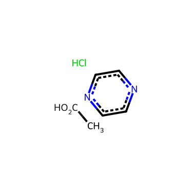 CC(=O)O.Cl.c1cnccn1